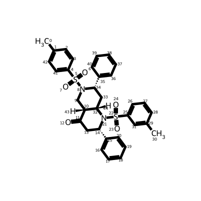 Cc1ccc(S(=O)(=O)N2C[C@H]3C(=O)C[C@@H](c4ccccc4)N(S(=O)(=O)c4cccc(C)c4)[C@H]3C[C@H]2c2ccccc2)cc1